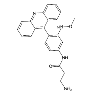 CONc1cc(NC(=O)CCN)ccc1-c1c2ccccc2nc2ccccc12